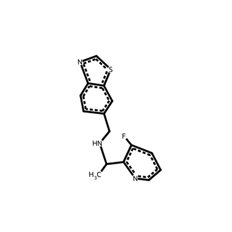 CC(NCc1ccc2ncsc2c1)c1ncccc1F